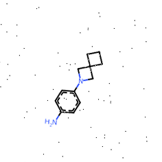 Nc1ccc(N2CC3(CCC3)C2)cc1